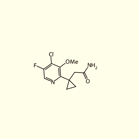 COc1c(C2(CC(N)=O)CC2)ncc(F)c1Cl